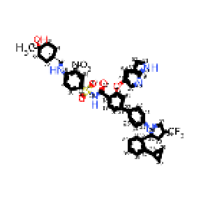 C[C@]1(O)CC[C@H](CNc2ccc(S(=O)(=O)NC(=O)c3ccc(-c4ccc(N5CC(C(F)(F)F)CC5c5ccccc5C5CC5)cc4)cc3Oc3cnc4[nH]ccc4c3)cc2[N+](=O)[O-])CC1